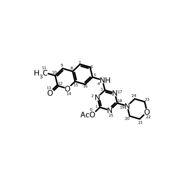 CC(=O)Oc1nc(Nc2ccc3cc(C)c(=O)oc3c2)nc(N2CCOCC2)n1